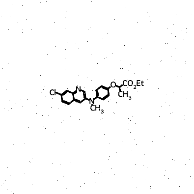 CCOC(=O)C(C)Oc1ccc(N(C)c2cnc3cc(Cl)ccc3c2)cc1